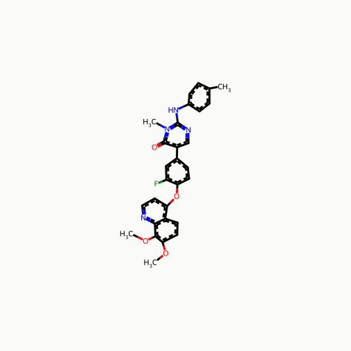 COc1ccc2c(Oc3ccc(-c4cnc(Nc5ccc(C)cc5)n(C)c4=O)cc3F)ccnc2c1OC